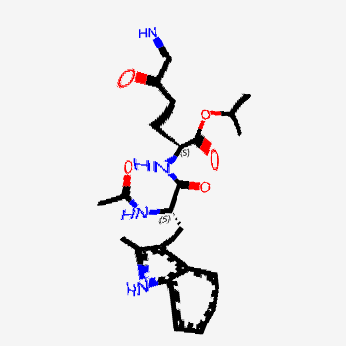 CC(=O)N[C@@H](Cc1c(C)[nH]c2ccccc12)C(=O)N[C@@H](CCC(=O)C=N)C(=O)OC(C)C